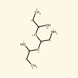 CCC(O)OC(CN)OC(O)CC